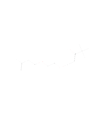 CC(C)CCOCC[O][Y][CH2]C(=O)C(C)(C)C